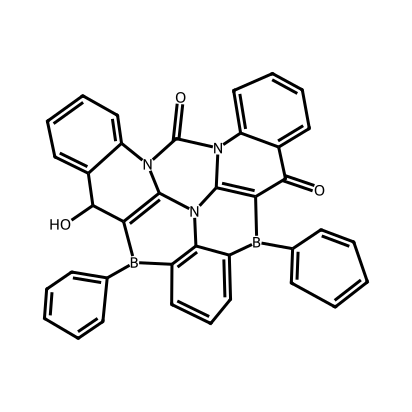 O=C1N2C3=C(B(c4ccccc4)c4cccc5c4N3c3c(c(=O)c4ccccc4n31)B5c1ccccc1)C(O)c1ccccc12